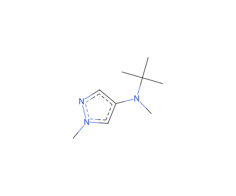 CN(c1cnn(C)c1)C(C)(C)C